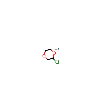 ClC1COCCO1.[H+]